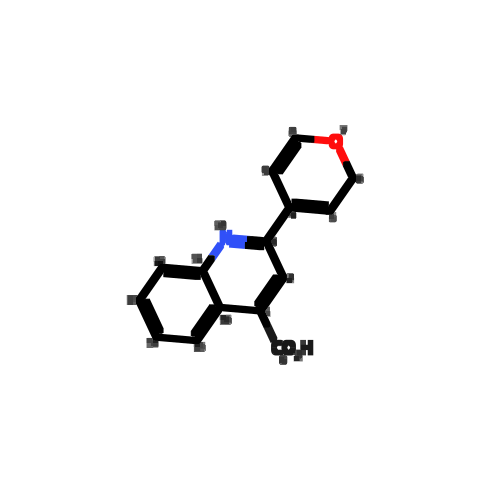 O=C(O)c1cc(C2=CCOC=C2)nc2ccccc12